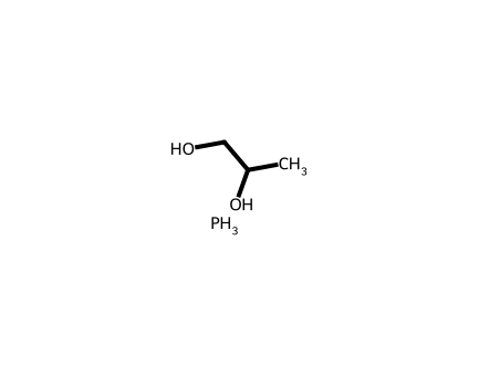 CC(O)CO.P